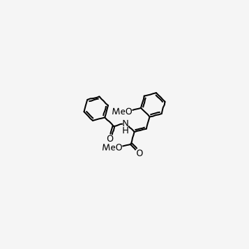 COC(=O)C(=Cc1ccccc1OC)NC(=O)c1ccccc1